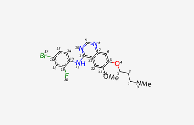 CNCCCOc1cc2ncnc(Nc3ccc(Br)cc3F)c2cc1OC